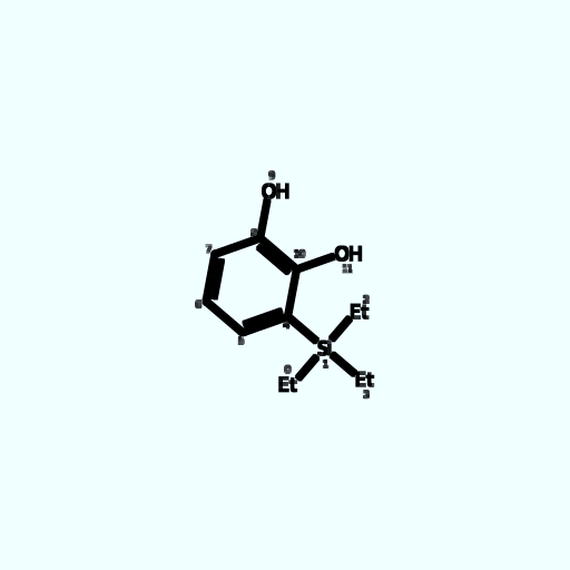 CC[Si](CC)(CC)c1cccc(O)c1O